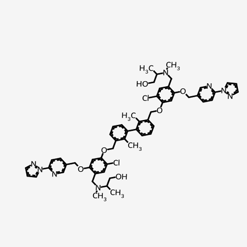 Cc1c(COc2cc(OCc3ccc(-n4cccn4)nc3)c(CN(C)C(C)CO)cc2Cl)cccc1-c1cccc(COc2cc(OCc3ccc(-n4cccn4)nc3)c(CN(C)C(C)CO)cc2Cl)c1C